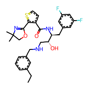 CCc1cccc(CNC[C@@H](O)[C@H](Cc2cc(F)cc(F)c2)NC(=O)c2ccsc2C2=NC(C)(C)CO2)c1